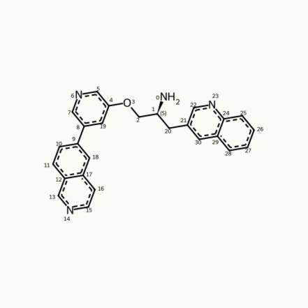 N[C@H](COc1cncc(-c2ccc3cnccc3c2)c1)Cc1cnc2ccccc2c1